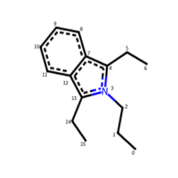 CCCn1c(CC)c2ccccc2c1CC